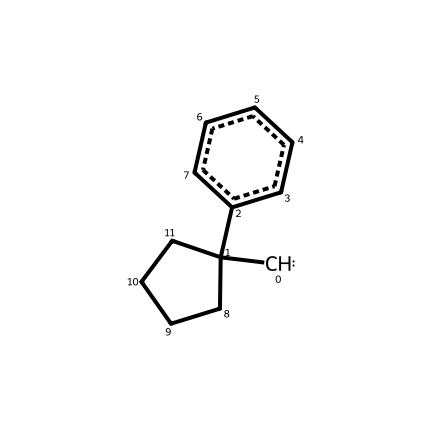 [CH]C1(c2ccccc2)CCCC1